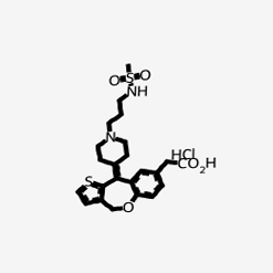 CS(=O)(=O)NCCCN1CCC(=C2c3cc(CC(=O)O)ccc3OCc3ccsc32)CC1.Cl